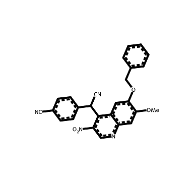 COc1cc2ncc([N+](=O)[O-])c(C(C#N)c3ccc(C#N)cc3)c2cc1OCc1ccccc1